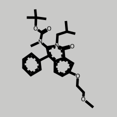 COCCOc1ccc2c(-c3ccccc3)c(N(C)C(=O)OC(C)(C)C)n(CC(C)C)c(=O)c2c1